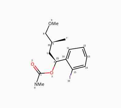 CNC(=O)O[C@@H](C[C@H](C)COC)c1ccccc1I